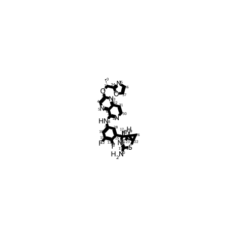 C[C@@H](Oc1cnc2c(Nc3cc(F)c(F)c([C@@]4(C)N=C(N)S[C@@]5(C(F)F)C[C@@H]45)c3)nccc2n1)c1ncco1